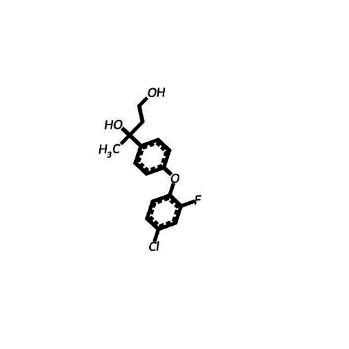 CC(O)(CCO)c1ccc(Oc2ccc(Cl)cc2F)cc1